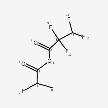 CC(F)C(=O)OC(=O)C(F)(F)C(F)F